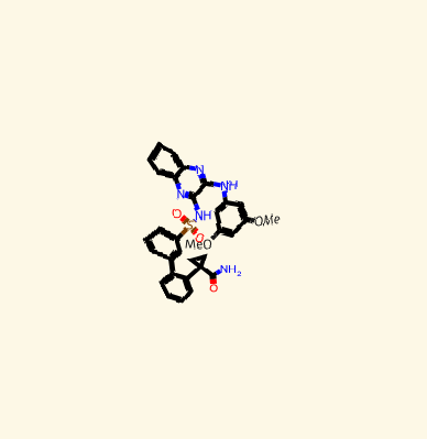 COc1cc(Nc2nc3ccccc3nc2NS(=O)(=O)c2cccc(-c3ccccc3C3(C(N)=O)CC3)c2)cc(OC)c1